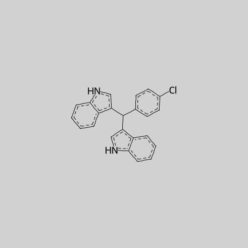 Clc1ccc(C(c2c[nH]c3ccccc23)c2c[nH]c3ccccc23)cc1